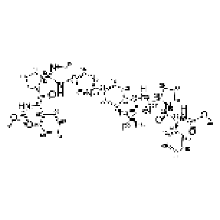 COC(=O)NC(C(=O)N1CCC[C@H]1c1ncc(-c2cnc(-c3ccc(-c4[nH]c([C@@H]5CCCN5C(=O)[C@H](NC(=O)OC)c5ccccc5)nc4C(F)(F)F)cc3)nc2)[nH]1)c1ccccc1